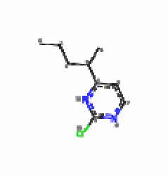 CCCC(C)c1ccnc(Cl)n1